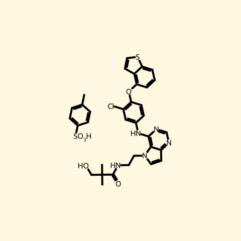 CC(C)(CO)C(=O)NCCn1ccc2ncnc(Nc3ccc(Oc4cccc5sccc45)c(Cl)c3)c21.Cc1ccc(S(=O)(=O)O)cc1